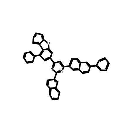 c1ccc(-c2ccc3cc(-c4cc(-c5cc(-c6ccccc6)c6c(c5)oc5ccccc56)nc(-c5ccc6ccccc6c5)n4)ccc3c2)cc1